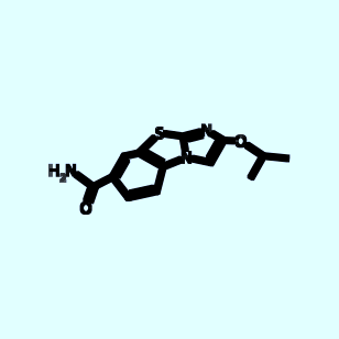 CC(C)Oc1cn2c(n1)sc1cc(C(N)=O)ccc12